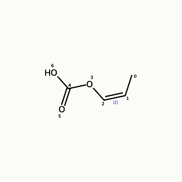 C/C=C\OC(=O)O